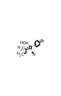 C=CC(C)N1[C@H](CO)[C@H](c2ccc(Br)cc2)[C@@H]1C#N